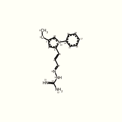 COc1cc(/C=C/C=N/NC(=N)N)n(-c2ccccc2)c1